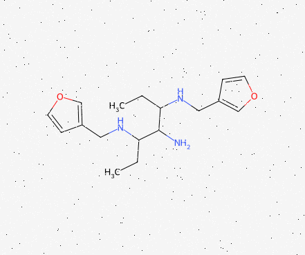 CCC(NCc1ccoc1)C(N)C(CC)NCc1ccoc1